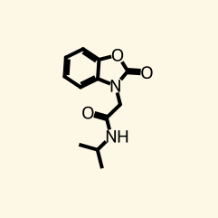 CC(C)NC(=O)Cn1c(=O)oc2ccccc21